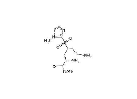 CNC(=O)[C@@H](N)CC(CCN)S(=O)(=O)c1nccn1C